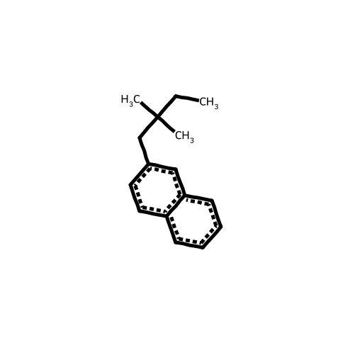 CCC(C)(C)Cc1ccc2ccccc2c1